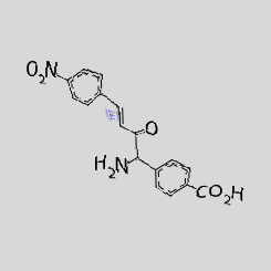 NC(C(=O)/C=C/c1ccc([N+](=O)[O-])cc1)c1ccc(C(=O)O)cc1